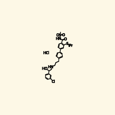 CC(C)Sc1cc(-c2ccc(CCCNCC(O)c3cccc(Cl)c3)cc2)ccc1C(=O)NS(C)(=O)=O.Cl